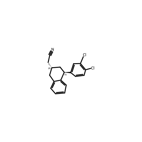 N#CC[C@H]1Cc2ccccc2[C@H](c2ccc(Cl)c(Cl)c2)C1